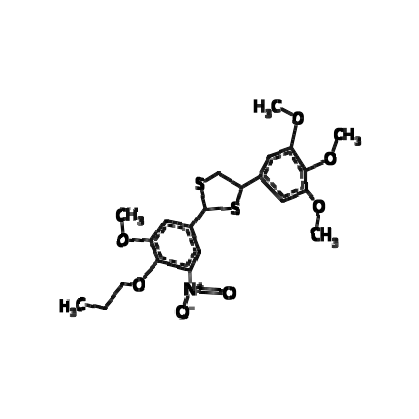 CCCOc1c(OC)cc(C2SCC(c3cc(OC)c(OC)c(OC)c3)S2)cc1[N+](=O)[O-]